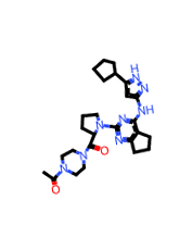 CC(=O)N1CCN(C(=O)C2CCCN2c2nc3c(c(Nc4cc(C5CCCC5)[nH]n4)n2)CCC3)CC1